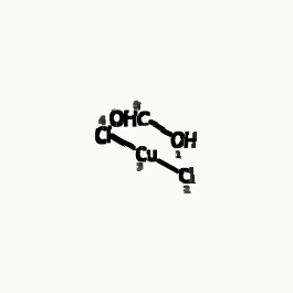 O=CO.[Cl][Cu][Cl]